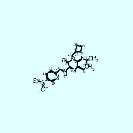 C=C(Cl)/N=C1\C(=C/C)N=C(NCc2ccc([S+]([O-])CC)cn2)C(=O)N1CC1CCC1